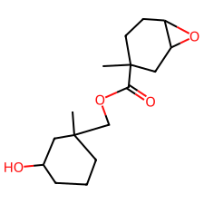 CC1(COC(=O)C2(C)CCC3OC3C2)CCCC(O)C1